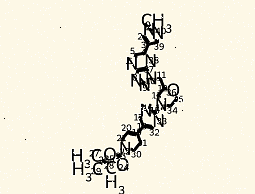 Cn1cc(-c2cnc3nnn(CC4CN(c5ncc(C6=CCN(C(=O)OC(C)(C)C)CC6)cn5)CCO4)c3n2)cn1